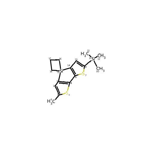 Cc1cc2c(s1)-c1sc([Si](C)(C)C)cc1[Si]21CCC1